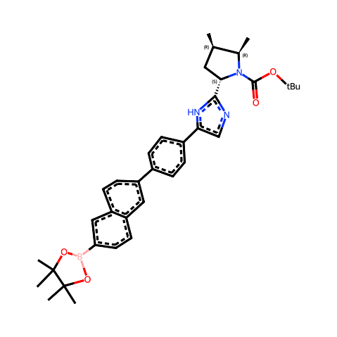 C[C@@H]1C[C@@H](c2ncc(-c3ccc(-c4ccc5cc(B6OC(C)(C)C(C)(C)O6)ccc5c4)cc3)[nH]2)N(C(=O)OC(C)(C)C)[C@@H]1C